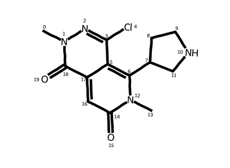 Cn1nc(Cl)c2c(C3CCNC3)n(C)c(=O)cc2c1=O